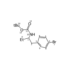 CCC(Cc1ccc(Br)cc1)NC(=O)OC(C)(C)C